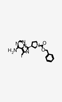 Nc1ncnn2c([C@H]3CCN(C(=O)OCc4ccccc4)C3)nc(I)c12